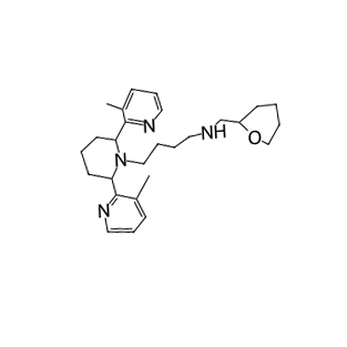 Cc1cccnc1C1CCCC(c2ncccc2C)N1CCCCNCC1CCCCO1